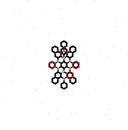 c1ccc(N2c3cc4ccccc4c4c3[Si]3(c5ccccc5)c5c2c2c6c(c5N(c5ccccc5)c5cc7ccccc7c(c53)N4c3ccccc3)N(c3ccccc3)c3cc4ccccc4c4c3[Si]6(c3ccccc3)c3c(cc5ccccc5c3N4c3ccccc3)N2c2ccccc2)cc1